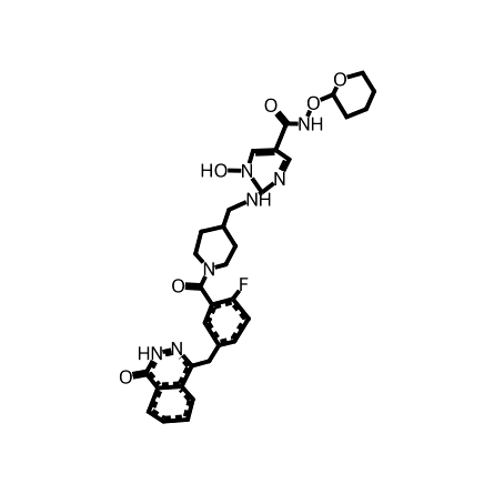 O=C(NOC1CCCCO1)C1=CN(O)C(NCC2CCN(C(=O)c3cc(Cc4n[nH]c(=O)c5ccccc45)ccc3F)CC2)N=C1